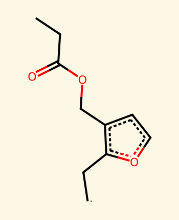 [CH2]Cc1occc1COC(=O)CC